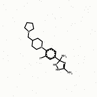 NC1=NC(N)(c2ccc(N3CCC(CN4CCCC4)CC3)c(F)c2)NN1